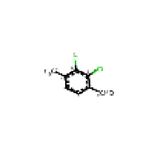 O=Cc1ccc(C(F)(F)F)c(Cl)c1Cl